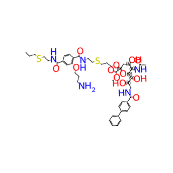 CCCSCCNC(=O)c1ccc(C(=O)NCCSCCCO[C@]2(C(=O)OC)C[C@H](O)[C@@H](NC(C)=O)[C@H]([C@H](O)[C@H](O)CNC(=O)c3ccc(-c4ccccc4)cc3)O2)c(OCCCN)c1